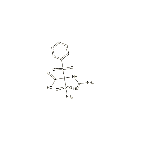 N=C(N)NC(C(=O)O)(S(N)(=O)=O)S(=O)(=O)c1ccccc1